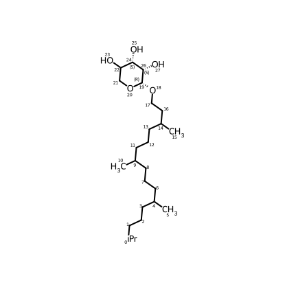 CC(C)CCCC(C)CCCC(C)CCCC(C)CCO[C@@H]1OCC(O)[C@H](O)[C@@H]1O